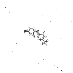 Cc1nc(S(C)(=O)=O)ncc1Oc1ccc(F)cc1F